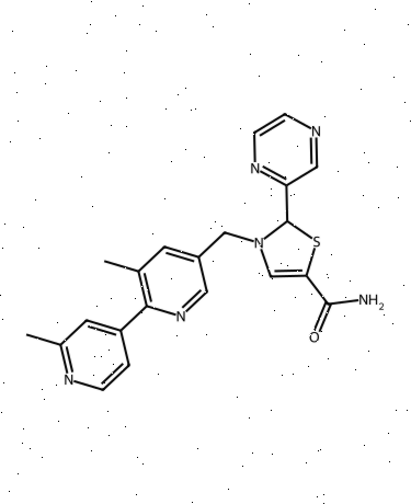 Cc1cc(-c2ncc(CN3C=C(C(N)=O)SC3c3cnccn3)cc2C)ccn1